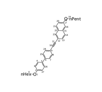 CCCCCCOc1ccc(-c2ccc(C#Cc3ccc4cc(OCCCCC)ccc4c3)cc2)cc1